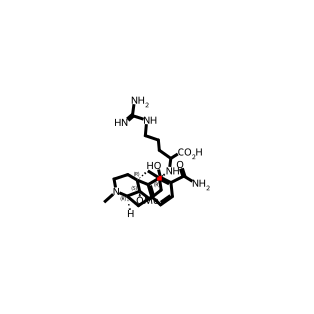 CO[C@@]12CC[C@@H](NC(CCCNC(=N)N)C(=O)O)C[C@@]13CCN(C)[C@@H]2Cc1ccc(C(N)=O)c(O)c13